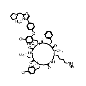 COC[C@@H]1NC(=O)[C@H](C)N(Cc2ccc(Cl)cc2Oc2ccc(-c3cnc(CN4CCCC4)n3C)cc2)C(=O)C[C@@H](Cc2ccccc2)C(=O)N(C)[C@@H](CCCCNC(C)(C)C)CNC(=O)C[C@H](Cc2ccc(Cl)cc2)N(C)C1=O